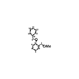 COCc1ccccc1OCc1ccccc1